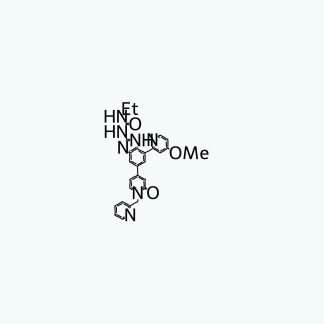 CCNC(=O)Nc1nc2cc(-c3ccn(Cc4ccccn4)c(=O)c3)cc(-c3cc(OC)ccn3)c2[nH]1